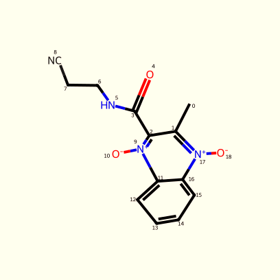 Cc1c(C(=O)NCCC#N)[n+]([O-])c2ccccc2[n+]1[O-]